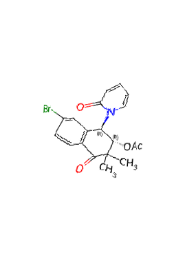 CC(=O)O[C@H]1[C@H](n2ccccc2=O)c2cc(Br)ccc2C(=O)C1(C)C